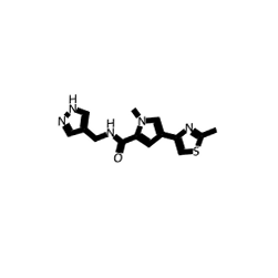 Cc1nc(-c2cc(C(=O)NCc3cn[nH]c3)n(C)c2)cs1